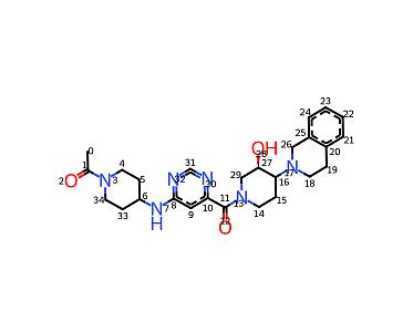 CC(=O)N1CCC(Nc2cc(C(=O)N3CCC(N4CCc5ccccc5C4)[C@H](O)C3)ncn2)CC1